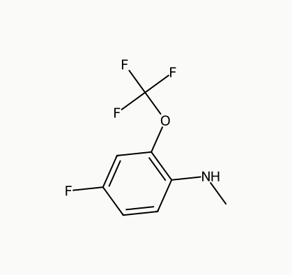 CNc1ccc(F)cc1OC(F)(F)F